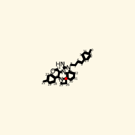 Cc1ccc(/C=C/CCn2c(=N)n(C(C=O)C(c3ccc(C)cc3)N3CCC3)c3ccccc32)cc1